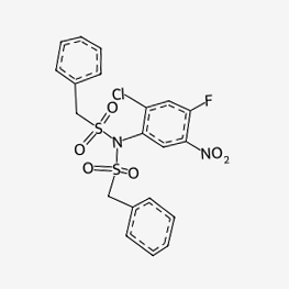 O=[N+]([O-])c1cc(N(S(=O)(=O)Cc2ccccc2)S(=O)(=O)Cc2ccccc2)c(Cl)cc1F